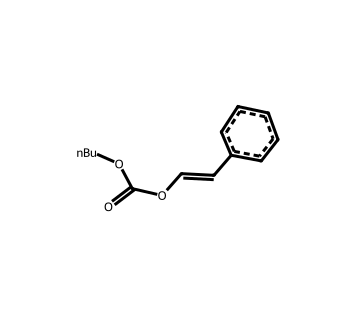 CCCCOC(=O)OC=Cc1ccccc1